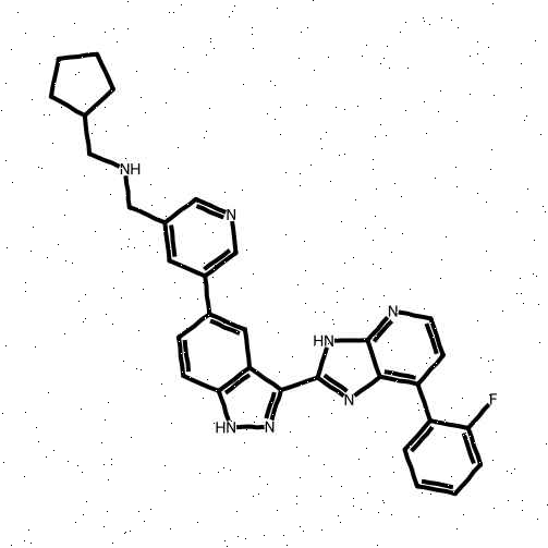 Fc1ccccc1-c1ccnc2[nH]c(-c3n[nH]c4ccc(-c5cncc(CNCC6CCCC6)c5)cc34)nc12